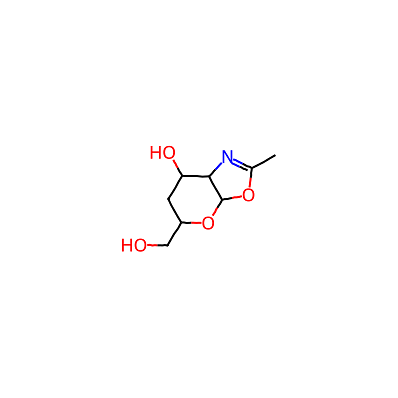 CC1=NC2C(O)CC(CO)OC2O1